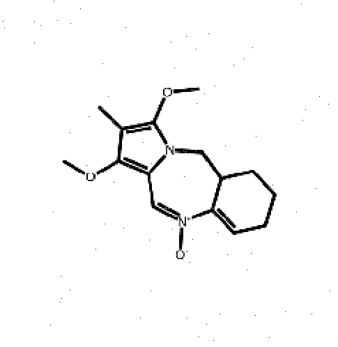 COc1c(C)c(OC)n2c1C=[N+]([O-])C1=CCCCC1C2